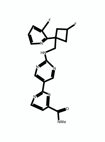 CNC(=O)c1ccnc(-c2cnc(NCC3(c4ncccc4F)CC(F)C3)nc2)n1